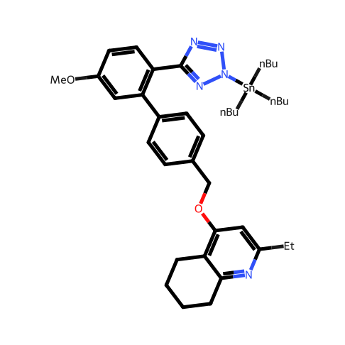 CCC[CH2][Sn]([CH2]CCC)([CH2]CCC)[n]1nnc(-c2ccc(OC)cc2-c2ccc(COc3cc(CC)nc4c3CCCC4)cc2)n1